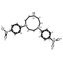 O=[N+]([O-])c1ccc(N2CCNCCN(c3ccc([N+](=O)[O-])cc3)CC2)cc1